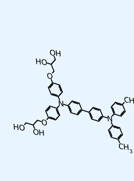 Cc1ccc(N(c2ccc(C)cc2)c2ccc(-c3ccc(N(c4ccc(OCC(O)CO)cc4)c4ccc(OCC(O)CO)cc4)cc3)cc2)cc1